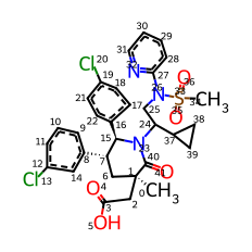 C[C@]1(CC(=O)O)C[C@H](c2cccc(Cl)c2)[C@@H](c2ccc(Cl)cc2)N(C(CN(c2ccccn2)S(C)(=O)=O)C2CC2)C1=O